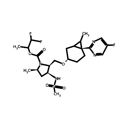 CC(OC(=O)N1[C@H](C)C[C@H](NS(C)(=O)=O)[C@@H]1CO[C@H]1CC[C@@]2(c3ncc(F)cn3)C(C)C2C1)C(F)F